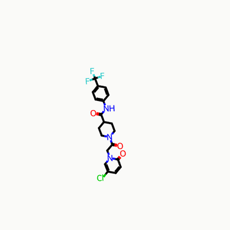 O=C(Nc1ccc(C(F)(F)F)cc1)C1CCN(C(=O)Cn2cc(Cl)ccc2=O)CC1